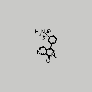 Cn1cc(-c2cccc(S(N)(=O)=O)c2)c2ccncc2c1=O